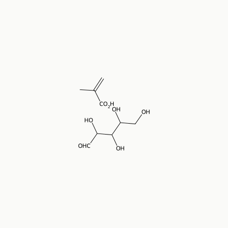 C=C(C)C(=O)O.O=CC(O)C(O)C(O)CO